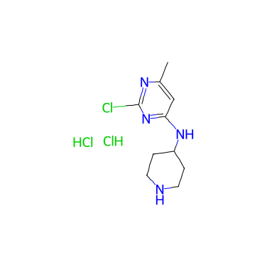 Cc1cc(NC2CCNCC2)nc(Cl)n1.Cl.Cl